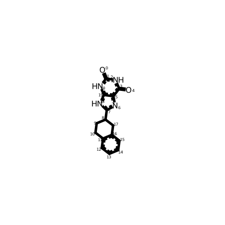 O=c1[nH]c(=O)c2nc(C3CCc4ccccc4C3)[nH]c2[nH]1